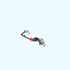 CCCCCC1CC1CC1CC1CCCCCCCC(=O)OC1CC[C@@]2(C)C(=CC[C@H]3[C@@H]4CC[C@H]([C@H](C)CCCC(C)C)[C@@]4(C)CC[C@@H]32)C1